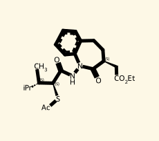 CCOC(=O)C[C@@H]1CCc2ccccc2N(NC(=O)[C@@H](SC(C)=O)[C@@H](C)C(C)C)C1=O